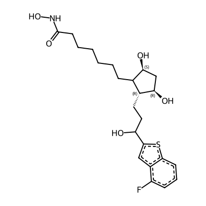 O=C(CCCCCCC1[C@@H](CCC(O)c2cc3c(F)cccc3s2)[C@H](O)C[C@@H]1O)NO